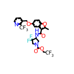 Cc1oc2ccc(OCc3cccnc3C(F)(F)F)cc2c1C(=O)NC1CN(C(=O)OCC(F)(F)F)CC1(F)F